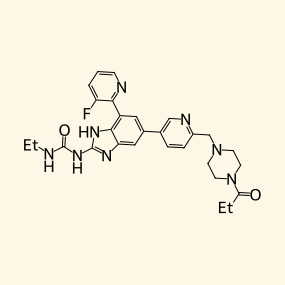 CCNC(=O)Nc1nc2cc(-c3ccc(CN4CCN(C(=O)CC)CC4)nc3)cc(-c3ncccc3F)c2[nH]1